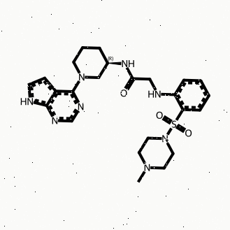 CN1CCN(S(=O)(=O)c2ccccc2NCC(=O)N[C@@H]2CCCN(c3ncnc4[nH]ccc34)C2)CC1